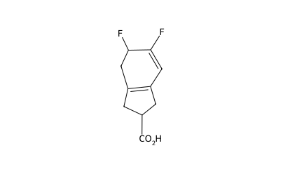 O=C(O)C1CC2=C(CC(F)C(F)=C2)C1